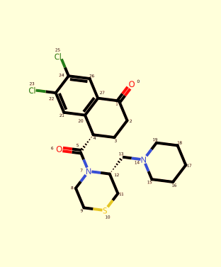 O=C1CC[C@H](C(=O)N2CCSC[C@H]2CN2CCCCC2)c2cc(Cl)c(Cl)cc21